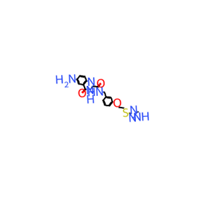 Nc1ccc2nc(C(=O)NCc3cccc(OCCSc4nc[nH]n4)c3)[nH]c(=O)c2c1